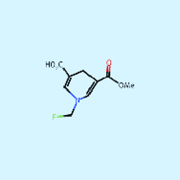 COC(=O)C1=CN(CF)C=C(C(=O)O)C1